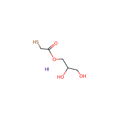 I.O=C(CS)OCC(O)CO